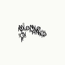 Cn1nnc(-c2ccc(F)cn2)c1COc1ccc(C(=O)NN2CCOCC2)nn1